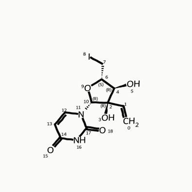 C=C[C@@]1(O)[C@H](O)[C@@H](CI)O[C@H]1n1ccc(=O)[nH]c1=O